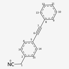 N#CCc1ccc(C#Cc2ccccc2)cc1